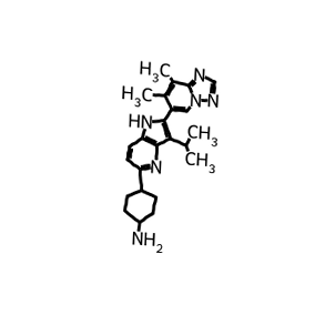 Cc1c(-c2[nH]c3ccc(C4CCC(N)CC4)nc3c2C(C)C)cn2ncnc2c1C